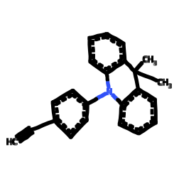 C#Cc1ccc(N2c3ccccc3C(C)(C)c3ccccc32)cc1